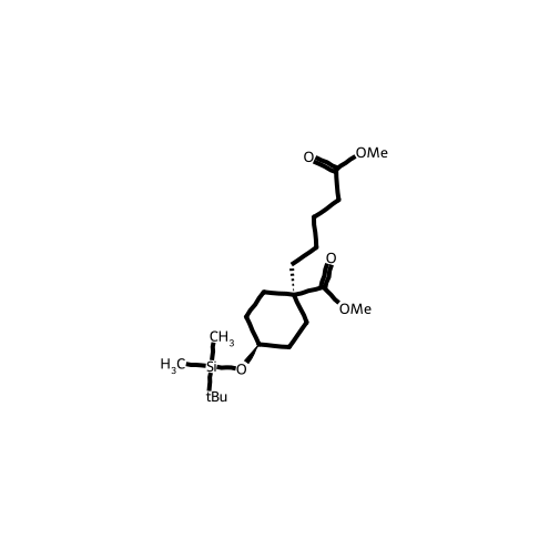 COC(=O)CCCC[C@]1(C(=O)OC)CC[C@@H](O[Si](C)(C)C(C)(C)C)CC1